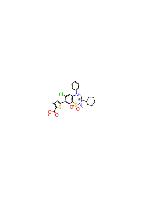 COC(=O)c1sc(-c2cc3c(cc2Cl)N(c2ccccc2)C[C@@H](C2CCCCC2)N(C)S3(=O)=O)cc1C